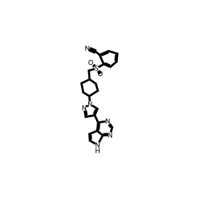 N#Cc1ccccc1S(=O)(=O)CC1CCC(n2cc(-c3ncnc4[nH]ccc34)cn2)CC1